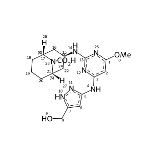 COc1cc(Nc2cc(CO)[nH]n2)nc(N[C@@H]2C[C@H]3CCC[C@@H](C2)N3C(=O)O)n1